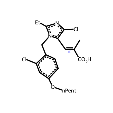 CCCCCOc1ccc(Cn2c(CC)nc(Cl)c2/C=C(\C)C(=O)O)c(Cl)c1